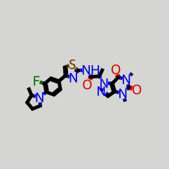 CC1CCCN1c1ccc(-c2csc(NC(=O)C(C)n3ncc4c3c(=O)n(C)c(=O)n4C)n2)cc1F